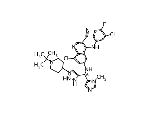 Cn1cncc1[C@H](Nc1cc(Cl)c2ncc(C#N)c(Nc3ccc(F)c(Cl)c3)c2c1)C1=CN(C2CCN(C(C)(C)C)CC2)NN1